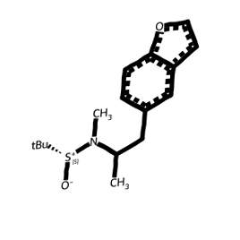 CC(Cc1ccc2occc2c1)N(C)[S@+]([O-])C(C)(C)C